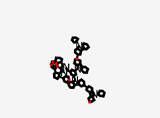 c1ccc(-c2cccc(-c3ccccc3)c2-c2nc(-c3cc(-n4c5ccccc5c5cc(-c6ccc7c(c6)c6ccccc6n7-c6ccccc6)ccc54)cc(-n4c5ccccc5c5cc(-c6ccc7c(c6)c6ccccc6n7-c6ccccc6)ccc54)c3)nc3c2-c2cccc4cccc-3c24)cc1